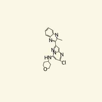 Cc1nc2ccccc2nc1-c1cc2nc(Cl)cc(NC3CCOCC3)n2n1